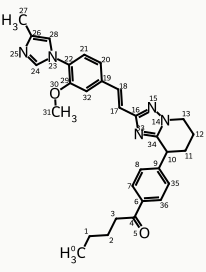 CCCCC(=O)c1ccc(C2CCCn3nc(/C=C/c4ccc(-n5cnc(C)c5)c(OC)c4)nc32)cc1